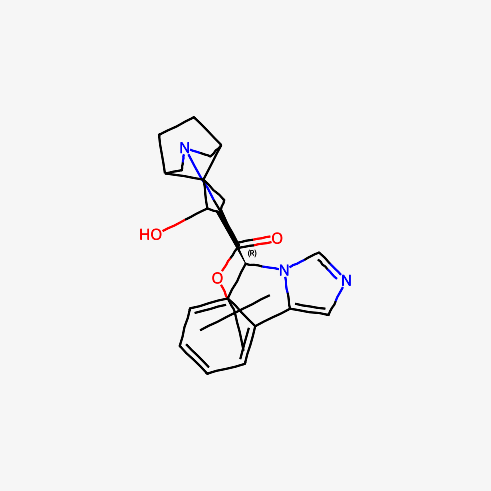 CC(C)(C)OC(=O)N1CC2CCC(C1)C21CC([C@@H]2c3ccccc3-c3cncn32)C1O